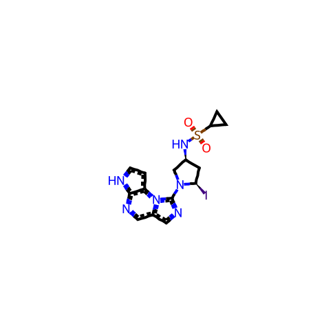 O=S(=O)(N[C@H]1C[C@@H](I)N(c2ncc3cnc4[nH]ccc4n23)C1)C1CC1